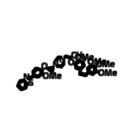 COc1ccc(/C=C\c2cc(OC)c(OC)c(OC)c2)cc1OC(C)CN1CCN(C2C[C@H]2Oc2ccc(-c3nc4ccccc4s3)cc2OC)CC1